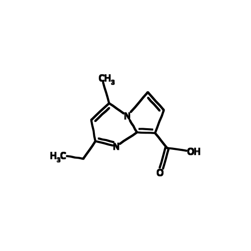 CCc1cc(C)n2ccc(C(=O)O)c2n1